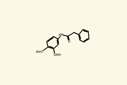 COc1ccc(NC(=O)Cc2c[c]ccc2)cc1OC